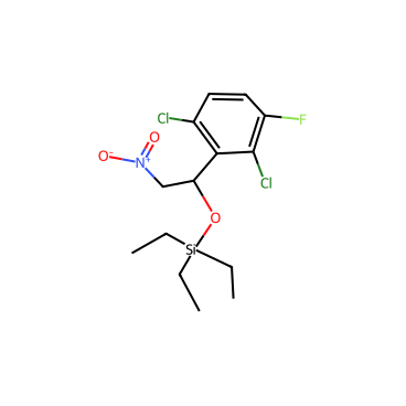 CC[Si](CC)(CC)OC(C[N+](=O)[O-])c1c(Cl)ccc(F)c1Cl